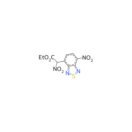 CCOC(=O)C(c1ccc([N+](=O)[O-])c2nsnc12)[N+](=O)[O-]